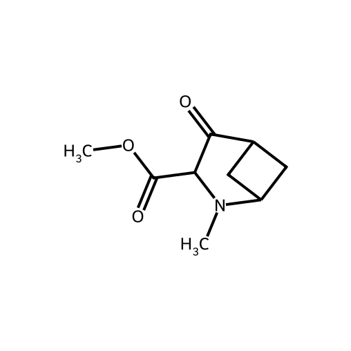 COC(=O)C1C(=O)C2CC(C2)N1C